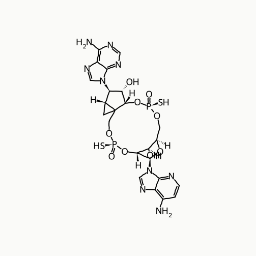 Nc1ncnc2c1ncn2[C@H]1[C@H](O)[C@@H]2O[P@@](=O)(S)OC[C@H]3O[C@@H](n4cnc5c(N)ccnc54)[C@H](O[P@@](=O)(S)OCC24C[C@H]14)[C@@H]3O